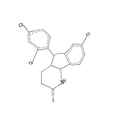 S=C1CCC2C(N1)c1ccc(Cl)cc1C2c1ccc(Cl)cc1Cl